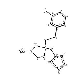 CCCCC1COC(CCc2cccc(Cl)c2)(Cn2ccnc2)O1